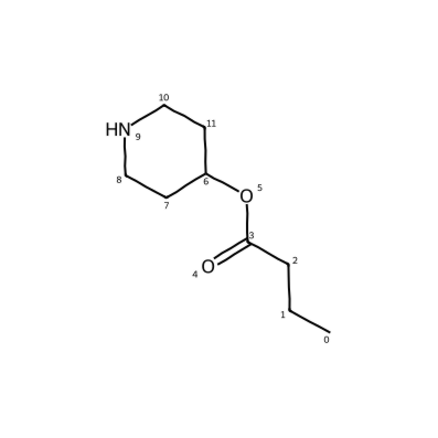 CCCC(=O)OC1CCNCC1